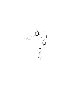 CN1CCC(OCc2cc(NC(=O)Nc3ccc(Oc4ccnc(-c5nnco5)c4)cc3)cc(C(F)(F)F)c2)CC1